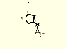 CCONC1CCOC1